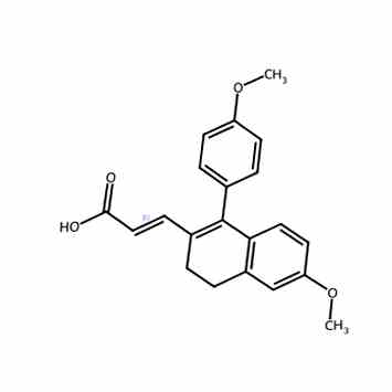 COc1ccc(C2=C(/C=C/C(=O)O)CCc3cc(OC)ccc32)cc1